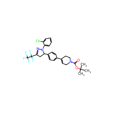 CC(C)(C)OC(=O)N1CC=C(c2ccc(C3CC(C(F)(F)C(F)(F)F)=NN3c3ccccc3Cl)cc2)CC1